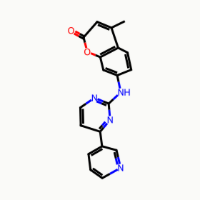 Cc1cc(=O)oc2cc(Nc3nccc(-c4cccnc4)n3)ccc12